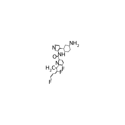 C=C(/C(F)=C\C=C/CF)c1nc(C(=O)Nc2cnccc2[C@@H]2CCC[C@H](N)C2)ccc1F